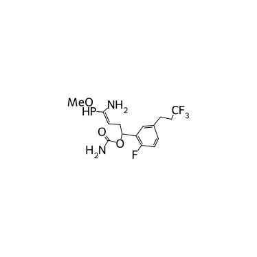 COP/C(N)=C/CC(OC(N)=O)c1cc(CCC(F)(F)F)ccc1F